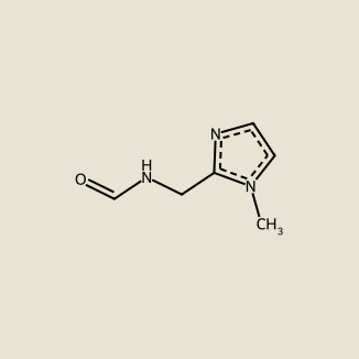 Cn1ccnc1CNC=O